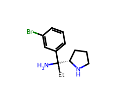 CCC(N)(c1cccc(Br)c1)[C@@H]1CCCN1